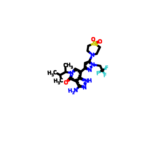 CC(C)C(C)n1cc(-c2cc(N3CCS(=O)(=O)CC3)n(CC(F)(F)F)n2)c2[nH]nc(N)c2c1=O